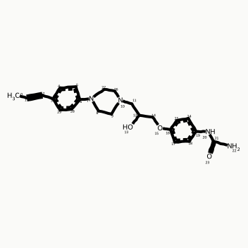 CC#Cc1ccc(N2CCN(CC(O)COc3ccc(NC(N)=O)cc3)CC2)cc1